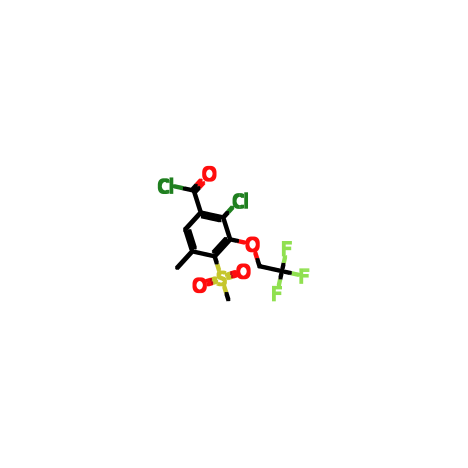 Cc1cc(C(=O)Cl)c(Cl)c(OCC(F)(F)F)c1S(C)(=O)=O